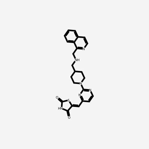 O=C1NC(=O)C(=Cc2ccnc(N3CCC(CNCc4nccc5ccccc45)CC3)n2)S1